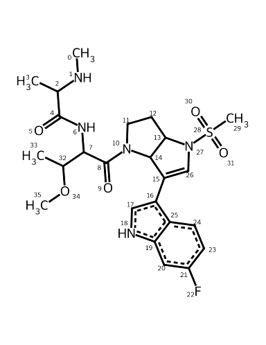 CNC(C)C(=O)NC(C(=O)N1CCC2C1C(c1c[nH]c3cc(F)ccc13)=CN2S(C)(=O)=O)C(C)OC